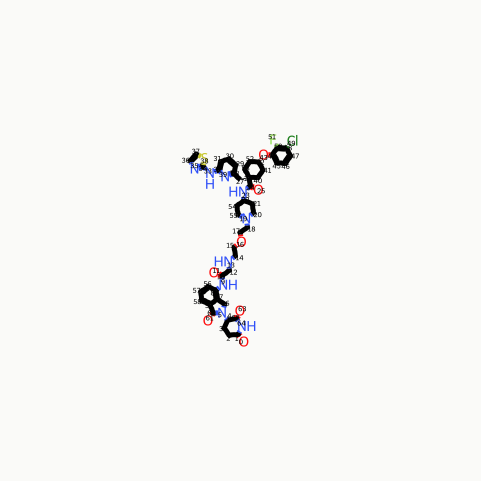 O=C1CCC(N2Cc3c(NC(=O)CNCCOCCN4CCC(NC(=O)[C@]5(Cc6cccc(Nc7nccs7)n6)CC[C@@H](Oc6cccc(Cl)c6F)CC5)CC4)cccc3C2=O)C(=O)N1